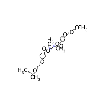 CC#CC(C)COCCCCOC1=CC=C(C(=O)O/C(=C/C=C(\C)OC(=O)c2ccc(OCCOCCOC)cc2)CC)C=CC1